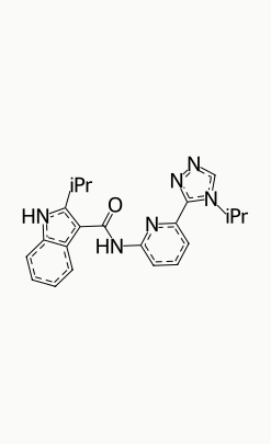 CC(C)c1[nH]c2ccccc2c1C(=O)Nc1cccc(-c2nncn2C(C)C)n1